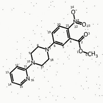 COC(=O)c1cc(N2CCN(c3ccccn3)CC2)ccc1[N+](=O)[O-]